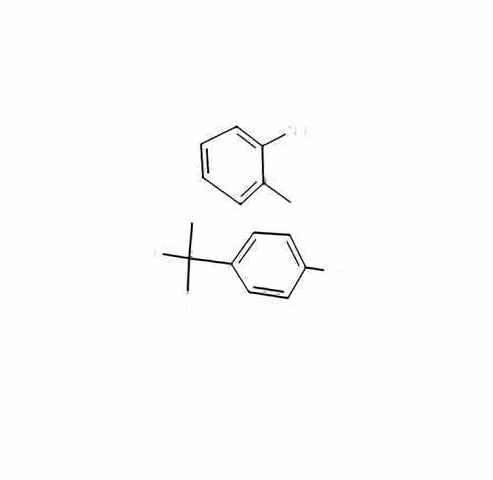 Cc1ccc(C(F)(F)F)cc1.Cc1ccccc1N